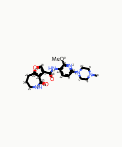 COc1nc(N2CCN(C)CC2)ccc1NC(=O)c1coc2c1C(=O)NCCC2